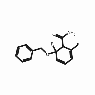 NC(=O)C1C(F)=CC=CC1(F)OCc1ccccc1